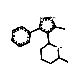 Cc1[nH]nc(-c2ccccc2)c1C1C[CH]CC(C)N1